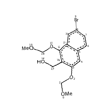 COCOc1cc2ccc(Br)cc2c(OCOC)c1CO